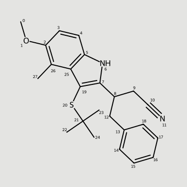 COc1ccc2[nH]c(C(CC#N)Cc3ccccc3)c(SC(C)(C)C)c2c1C